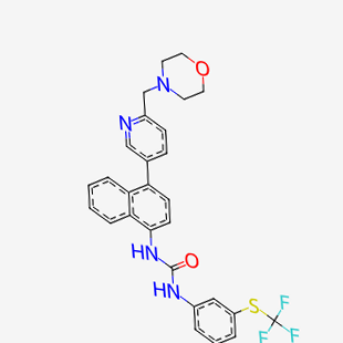 O=C(Nc1cccc(SC(F)(F)F)c1)Nc1ccc(-c2ccc(CN3CCOCC3)nc2)c2ccccc12